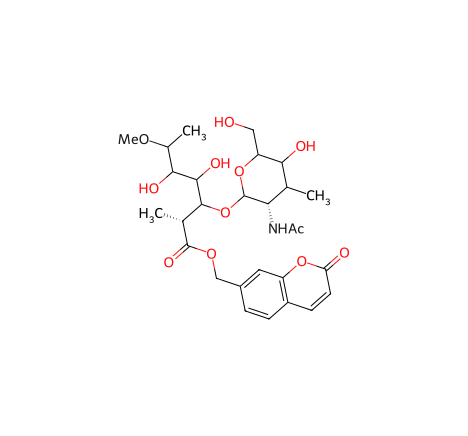 COC(C)C(O)C(O)C(OC1OC(CO)C(O)C(C)[C@@H]1NC(C)=O)[C@@H](C)C(=O)OCc1ccc2ccc(=O)oc2c1